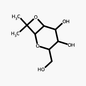 CC1(C)OC2C(O)C(O)C(CO)OC21